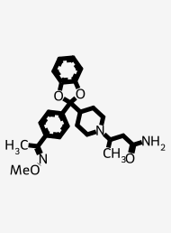 CON=C(C)c1ccc(C2(C3CCN(C(C)CC(N)=O)CC3)Oc3ccccc3O2)cc1